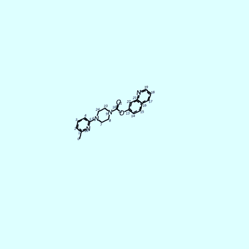 Cc1cccc(N2CCN(C(=O)Oc3ccc4cccnc4c3)CC2)n1